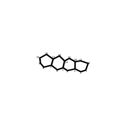 C1CCC2CC3CC4CCCCC4CC3CC2C1